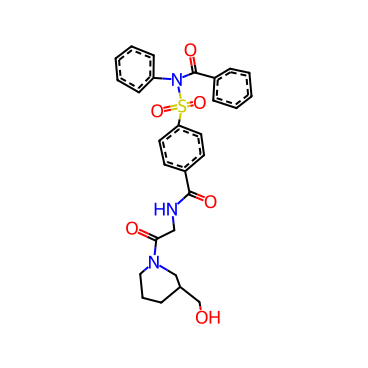 O=C(NCC(=O)N1CCCC(CO)C1)c1ccc(S(=O)(=O)N(C(=O)c2ccccc2)c2ccccc2)cc1